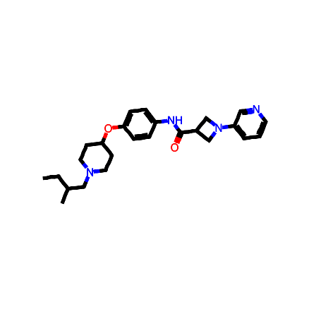 CCC(C)CN1CCC(Oc2ccc(NC(=O)C3CN(c4cccnc4)C3)cc2)CC1